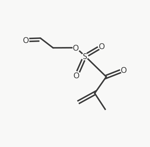 C=C(C)C(=O)S(=O)(=O)OCC=O